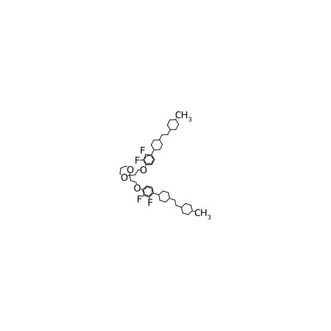 CC1CCC(CCC2CCC(c3ccc(OCCC4(CCOc5ccc(C6CCC(CCC7CCC(C)CC7)CC6)c(F)c5F)OCCCO4)c(F)c3F)CC2)CC1